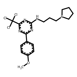 COc1ccc(-c2nc(NCCCN3CCCC3)nc(C(Cl)(Cl)Cl)n2)cc1